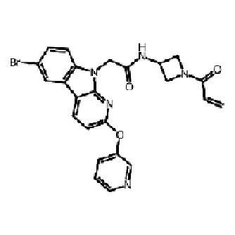 C=CC(=O)N1CC(NC(=O)Cn2c3ccc(Br)cc3c3ccc(Oc4cccnc4)nc32)C1